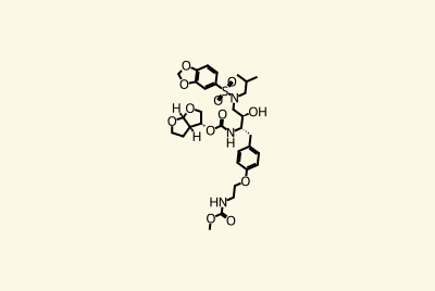 COC(=O)NCCOc1ccc(C[C@H](NC(=O)O[C@H]2CO[C@H]3OCC[C@H]32)[C@H](O)CN(CC(C)C)S(=O)(=O)c2ccc3c(c2)OCO3)cc1